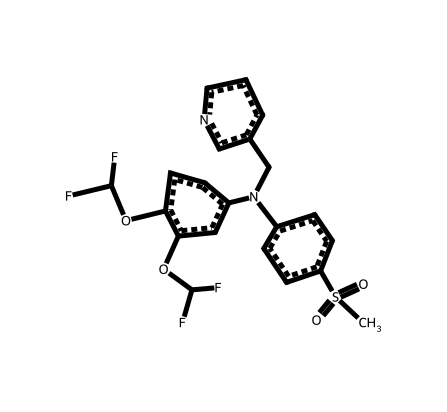 CS(=O)(=O)c1ccc(N(Cc2cccnc2)c2ccc(OC(F)F)c(OC(F)F)c2)cc1